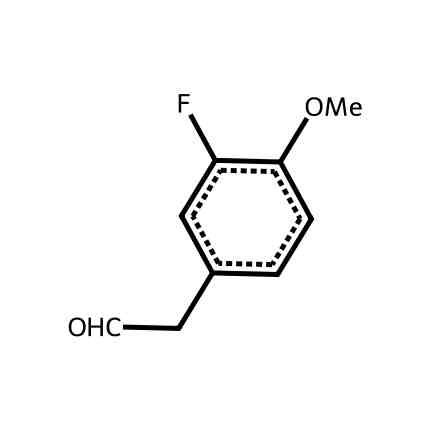 COc1ccc(CC=O)cc1F